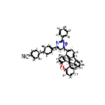 N#Cc1ccc(-c2ccc(-c3cc(-c4ccc5c(c4)C4(c6ccccc6Oc6ccccc64)c4ccccc4-5)nc(-c4ccccc4)n3)cc2)cc1